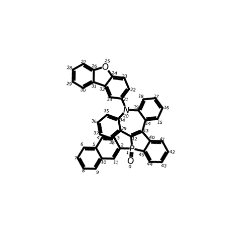 O=P1(c2ccc3ccccc3c2)C2=C(c3ccccc3N(c3ccc4oc5ccccc5c4c3)c3ccccc32)c2ccccc21